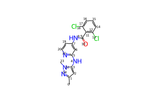 Cc1cc(Nc2cc(NC(=O)c3c(Cl)cccc3Cl)ccn2)n(C)n1